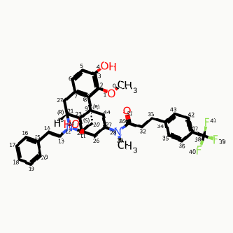 COc1c(O)ccc2c1[C@]13CCN(CCc4ccccc4)[C@H](C2)[C@]1(O)CCC(N(C)C(=O)CCc1ccc(C(F)(F)F)cc1)C3